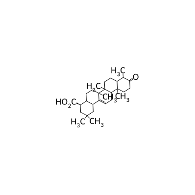 CC1C(=O)CCC2(C)C1CCC1(C)C2CC=C2C3CC(C)(C)C[C@@H](C(=O)O)C3CCC21C